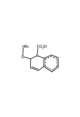 CCCCOC1C=Cc2ccccc2N1C(=O)OCC